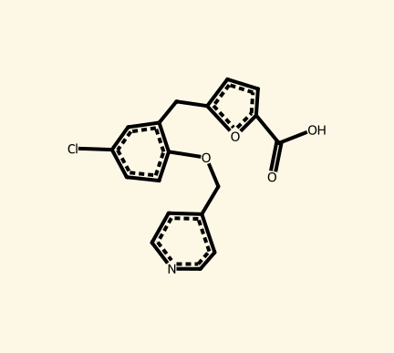 O=C(O)c1ccc(Cc2cc(Cl)ccc2OCc2ccncc2)o1